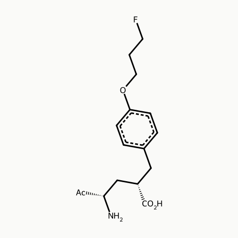 CC(=O)[C@@H](N)C[C@H](Cc1ccc(OCCCF)cc1)C(=O)O